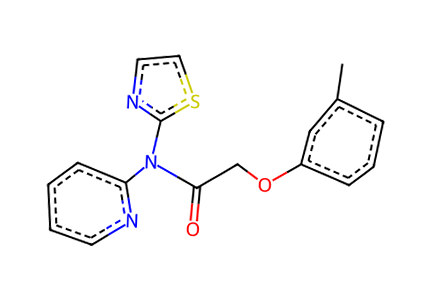 Cc1cccc(OCC(=O)N(c2ccccn2)c2nccs2)c1